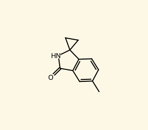 Cc1ccc2c(c1)C(=O)NC21CC1